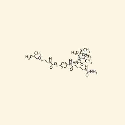 CSC(C)(C)N[C@H](C(=O)N[C@@H](CCCNC(N)=O)C(=O)Nc1ccc(COC(=O)NCCCOCC(C)C)cc1)C(C)C